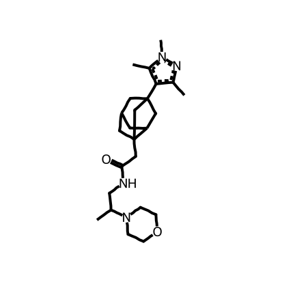 Cc1nn(C)c(C)c1C12CC3CC(C1)C(CC(=O)NCC(C)N1CCOCC1)(C3)C2